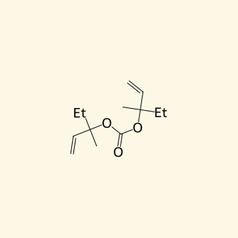 C=CC(C)(CC)OC(=O)OC(C)(C=C)CC